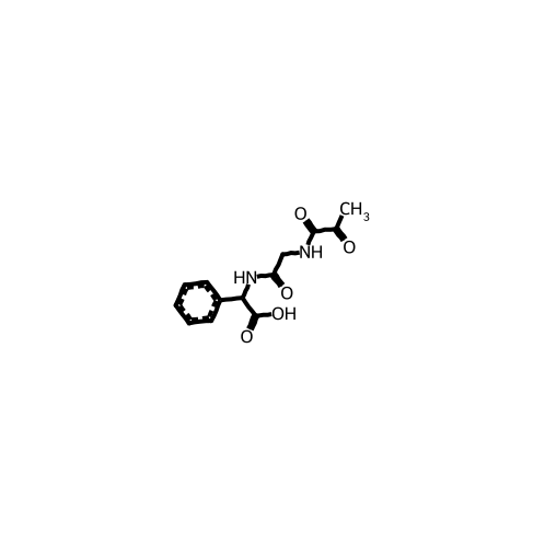 CC(=O)C(=O)NCC(=O)NC(C(=O)O)c1ccccc1